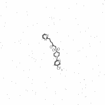 O=C(CCCc1ncccn1)CS(=O)(=O)N1CCN(c2ccc(C(F)(F)F)cn2)CC1